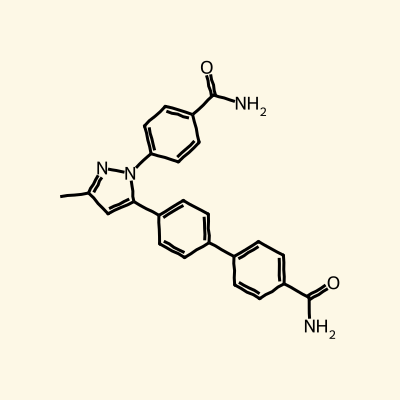 Cc1cc(-c2ccc(-c3ccc(C(N)=O)cc3)cc2)n(-c2ccc(C(N)=O)cc2)n1